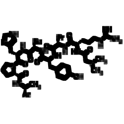 CCC(C)[C@H](NC(=O)[C@H](Cc1ccc(O)cc1)NC(=O)[C@@H](NC(=O)[C@H](CCCNC(=N)N)NC(=O)CN(C)C)C(C)C)C(=O)N[C@@H](Cc1c[nH]cn1)C(=O)N1CCC[C@H]1C(=O)N[C@H](C)C(C)=O